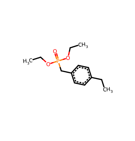 CCOP(=O)(Cc1ccc(CC)cc1)OCC